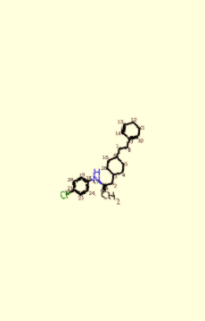 C=C(CC1CCC(CCC2=CCCC=C2)CC1)Nc1ccc(Cl)cc1